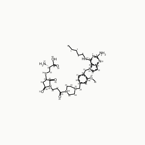 CCCCCNc1nc(N)nc2ccn(Cc3ccc(CN4CCN(C(=O)CCN5C(=O)CC(SC[C@H](N)C(=O)O)C5=O)CC4)cc3OC)c12